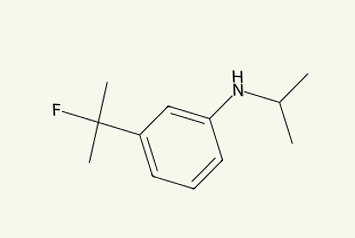 CC(C)Nc1cccc(C(C)(C)F)c1